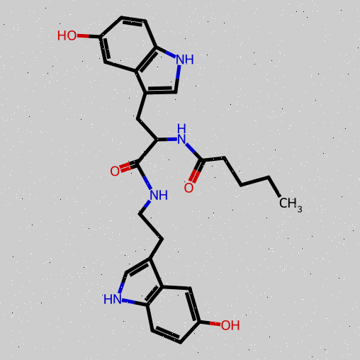 CCCCC(=O)NC(Cc1c[nH]c2ccc(O)cc12)C(=O)NCCc1c[nH]c2ccc(O)cc12